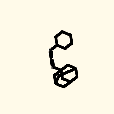 C(=NC1CCCCC1)=NC12CC3CC(CC(C3)C1)C2